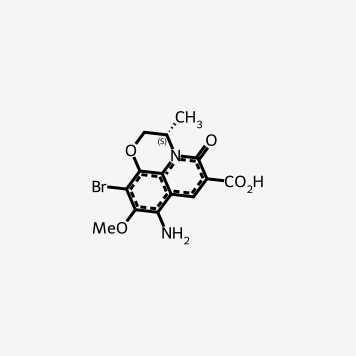 COc1c(Br)c2c3c(cc(C(=O)O)c(=O)n3[C@@H](C)CO2)c1N